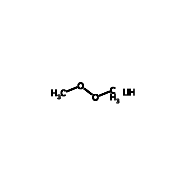 COOC.[LiH]